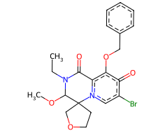 CCN1C(=O)c2c(OCc3ccccc3)c(=O)c(Br)cn2C2(CCOC2)C1OC